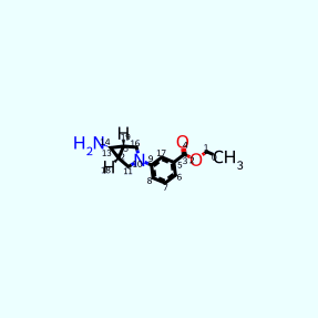 CCOC(=O)c1cccc(N2C[C@@H]3[C@H](N)[C@@H]3C2)c1